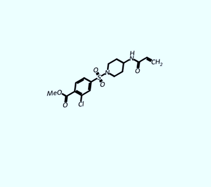 C=CC(=O)NC1CCN(S(=O)(=O)c2ccc(C(=O)OC)c(Cl)c2)CC1